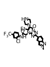 CCc1c(N2CCNCC2)c(=O)n2nc(-c3ccc4nn(C)cc4c3)nc2n1CC(=O)Nc1ccc(C(F)(F)F)cc1Cl